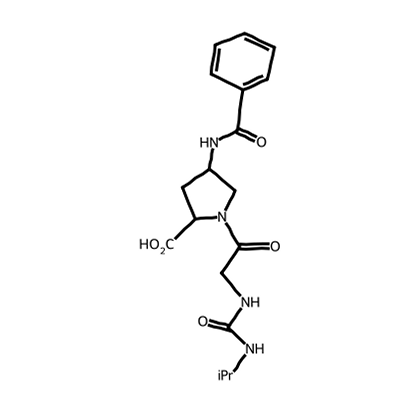 CC(C)NC(=O)NCC(=O)N1CC(NC(=O)c2ccccc2)CC1C(=O)O